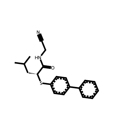 CC(C)C[C@@H](Sc1ccc(-c2ccccc2)cc1)C(=O)NCC#N